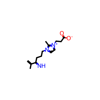 C=C(C)C(=N)CCCn1cc[n+](CCC(=O)[O-])c1C